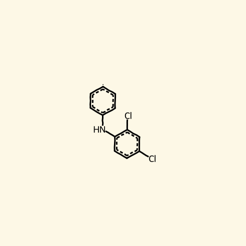 Clc1ccc(Nc2cc[c]cc2)c(Cl)c1